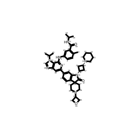 Cc1ccc(Nc2nc(-c3ccc4c(c3)N([C@H]3C[C@@H](N5CCCCC5)C3)C(=O)C43CCN(C4COC4)CC3)cc3ncn(C(C)C)c23)cc1C(=O)NC(C)C